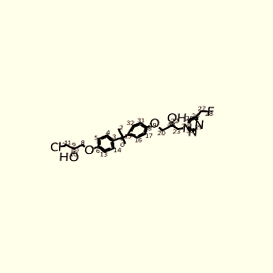 CC(C)(c1ccc(OC[C@H](O)CCl)cc1)c1ccc(OC[C@H](O)Cn2cc(CF)nn2)cc1